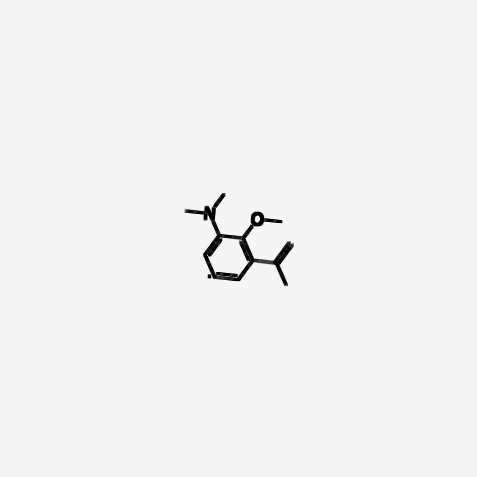 C=C(C)c1c[c]cc(N(C)C)c1OC